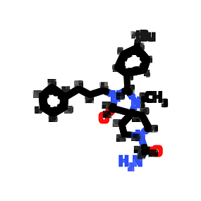 CN1C(c2ccc(C(C)(C)C)cc2)N(CCCc2ccccc2)C(=O)C12CCN(C(N)=O)CC2